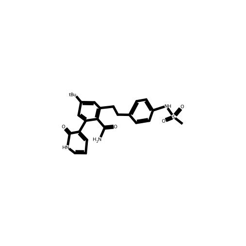 CC(C)(C)c1cc(CCc2ccc(NS(C)(=O)=O)cc2)c(C(N)=O)c(-c2ccc[nH]c2=O)c1